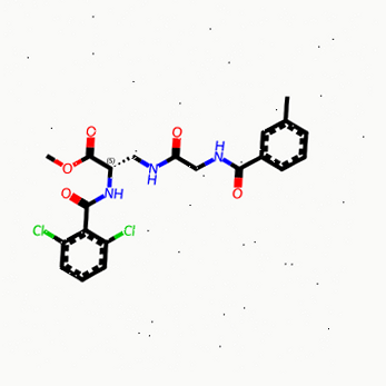 COC(=O)[C@H](CNC(=O)CNC(=O)c1cccc(C)c1)NC(=O)c1c(Cl)cccc1Cl